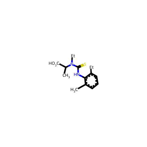 CCc1cccc(C)c1NC(=S)N(CC)C(C)C(=O)O